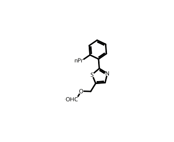 CCCc1ccccc1-c1ncc(CO[C]=O)s1